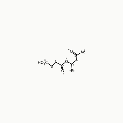 CCC(CC(=O)C(C)=O)OC(=O)CCC(=O)O